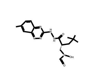 Cc1ccc2nc(NNC(=O)[C@@H](CN(O)C=O)CC(C)(C)C)nnc2c1